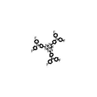 Fc1ccc(N(c2ccc(F)cc2)c2ccc(C3=NC4=NC(c5ccc(N(c6ccc(F)cc6)c6ccc(F)cc6)cc5)=NC5=NC(c6ccc(N(c7ccc(F)cc7)c7ccc(F)cc7)cc6)=NC(=N3)N45)cc2)cc1